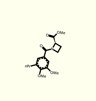 CCCc1cc(C(=O)N2CC[C@@H]2C(=O)OC)cc(OC)c1OC